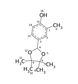 Cc1cc(C2OC(C)(C)C(C)(C)O2)ccc1O